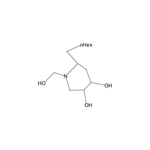 CCCCCCCC1CC(O)C(O)CN1CO